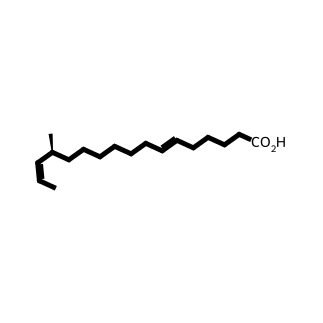 C/C=C\[C@@H](C)CCCCCC/C=C/CCCCC(=O)O